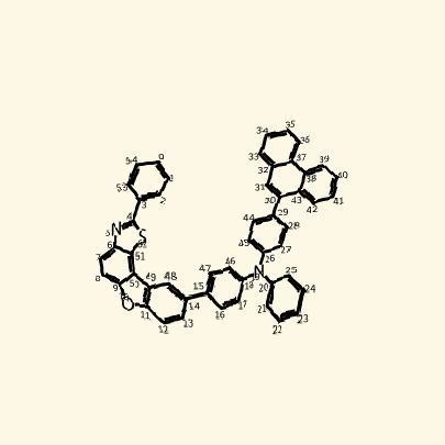 c1ccc(-c2nc3ccc4oc5ccc(-c6ccc(N(c7ccccc7)c7ccc(-c8cc9ccccc9c9ccccc89)cc7)cc6)cc5c4c3s2)cc1